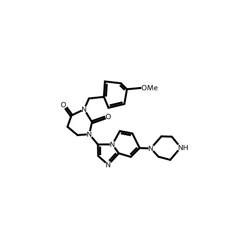 COc1ccc(CN2C(=O)CCN(c3cnc4cc(N5CCNCC5)ccn34)C2=O)cc1